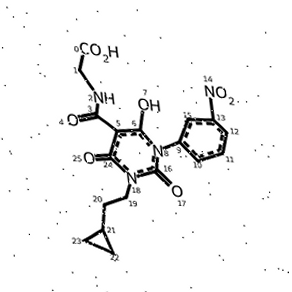 O=C(O)CNC(=O)c1c(O)n(-c2cccc([N+](=O)[O-])c2)c(=O)n(CCC2CC2)c1=O